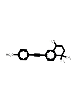 CC1(C)CCC(N)c2cc(C#Cc3ccc(C(=O)O)cc3)ccc21